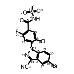 CS(=O)(=O)NC(=O)c1cc(Cl)c(-n2nc(C#N)c3cc(Br)ccc32)cc1F